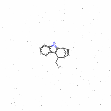 CCC1c2c([nH]c3ccccc23)C2C=CC1C2